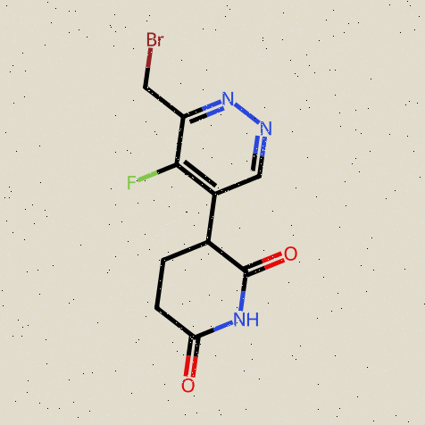 O=C1CCC(c2cnnc(CBr)c2F)C(=O)N1